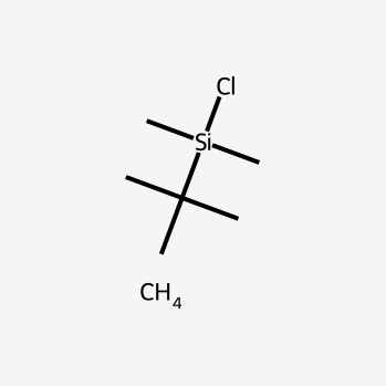 C.CC(C)(C)[Si](C)(C)Cl